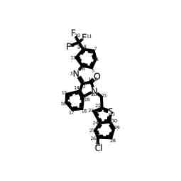 O=C1/C(=N\c2cccc(C(F)(F)F)c2)c2ccccc2N1Cc1cc2cc(Cl)ccc2s1